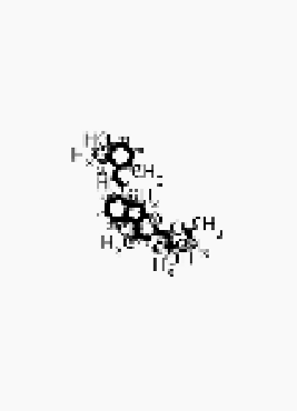 CC(=O)O[C@@H]([C@H]1C[C@@H](C)C2C(C[C@@]3(C)[C@H](CCC4C(C)CC[C@H](O)C4(C)C)CCC[C@]23C)O1)C(C)(C)O